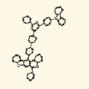 c1ccc(-c2nc(-c3ccc(-c4ccc(-c5c6c(cc7c(-c8ccccc8)nc8ccccc8c57)oc5ccccc56)cc4)cc3)cc(-c3ccc(-n4c5ccccc5c5ccccc54)cc3)n2)cc1